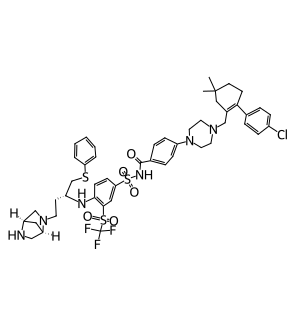 CC1(C)CCC(c2ccc(Cl)cc2)=C(CN2CCN(c3ccc(C(=O)NS(=O)(=O)c4ccc(N[C@H](CCN5C[C@H]6C[C@@H]5CN6)CSc5ccccc5)c(S(=O)(=O)C(F)(F)F)c4)cc3)CC2)C1